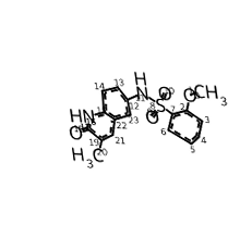 COc1ccccc1S(=O)(=O)Nc1ccc2[nH]c(=O)c(C)cc2c1